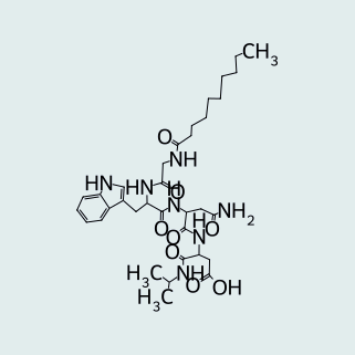 CCCCCCCCCC(=O)NCC(=O)NC(Cc1c[nH]c2ccccc12)C(=O)NC(CC(N)=O)C(=O)NC(CC(=O)O)C(=O)NC(C)C